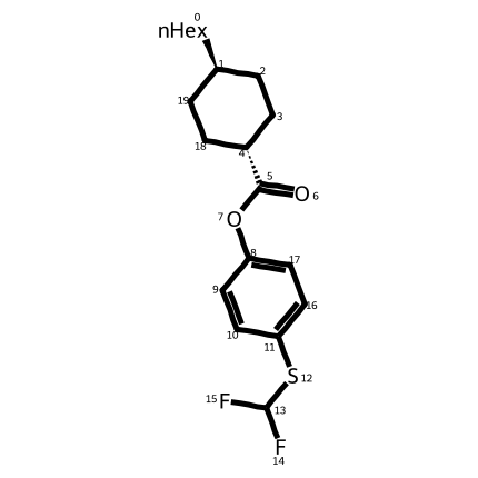 CCCCCC[C@H]1CC[C@H](C(=O)Oc2ccc(SC(F)F)cc2)CC1